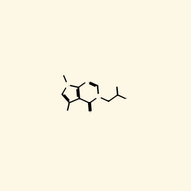 Cn1cc(I)c2c(=O)n(CC(F)F)cnc21